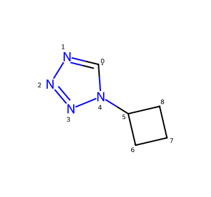 [c]1nnnn1C1CCC1